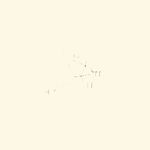 CC1CC(OCO)C(C)(C)C1(C)C